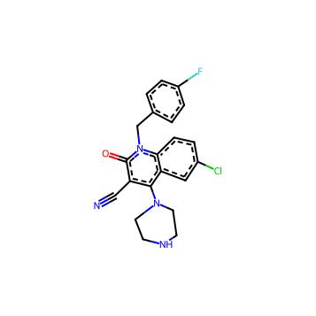 N#Cc1c(N2CCNCC2)c2cc(Cl)ccc2n(Cc2ccc(F)cc2)c1=O